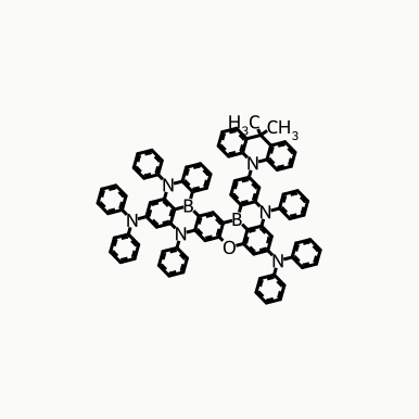 CC1(C)c2ccccc2N(c2ccc3c(c2)N(c2ccccc2)c2cc(N(c4ccccc4)c4ccccc4)cc4c2B3c2cc3c(cc2O4)N(c2ccccc2)c2cc(N(c4ccccc4)c4ccccc4)cc4c2B3c2ccccc2N4c2ccccc2)c2ccccc21